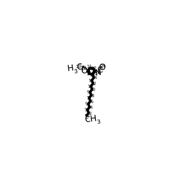 CCCCCCCCCCCCCCCc1cc(OCC)ccc1N=C=O